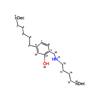 CCCCCCCCCCCCCCCc1ccc(CNCCCCCCCCCCCCCC)c(O)c1